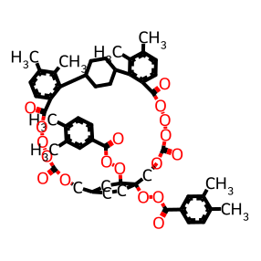 Cc1ccc(C(=O)OOC2CC3CCC2(OOC(=O)c2ccc(C)c(C)c2)COC(=O)OOOC(=O)c2ccc(C)c(C)c2C2CCC(CC2)c2c(ccc(C)c2C)C(=O)OOOC(=O)OC3)cc1C